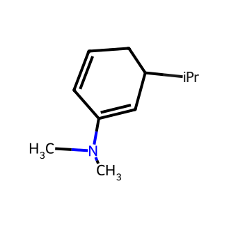 CC(C)C1C=C(N(C)C)C=CC1